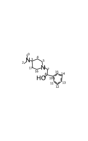 CN(C)C1CCN(CC(O)c2ccccc2)CC1